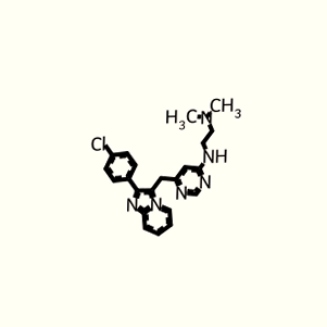 CN(C)CCNc1cc(Cc2c(-c3ccc(Cl)cc3)nc3ccccn23)ncn1